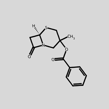 CC1(OC(=O)c2ccccc2)CS[C@@H]2CC(=O)N2C1